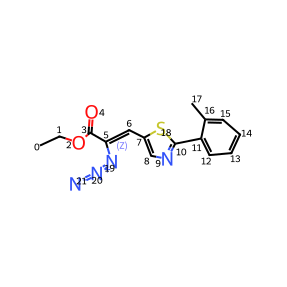 CCOC(=O)/C(=C/c1cnc(-c2ccccc2C)s1)N=[N+]=[N-]